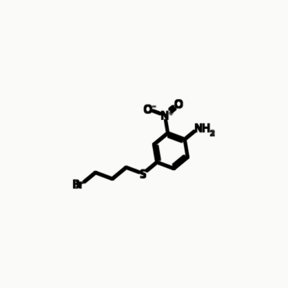 Nc1ccc(SCCCBr)cc1[N+](=O)[O-]